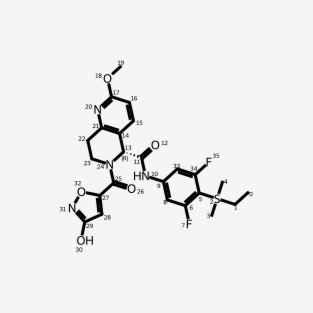 CCS(C)(C)c1c(F)cc(NC(=O)[C@H]2c3ccc(OC)nc3CCN2C(=O)c2cc(O)no2)cc1F